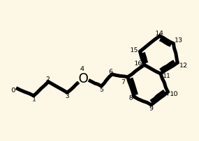 CCCCOCCc1cc[c]c2ccccc12